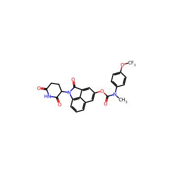 CN(C(=O)Oc1cc2c3c(cccc3c1)N(C1CCC(=O)NC1=O)C2=O)c1ccc(OC(F)(F)F)cc1